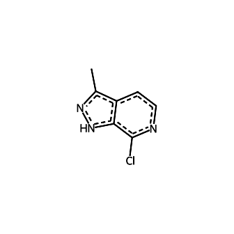 Cc1n[nH]c2c(Cl)nccc12